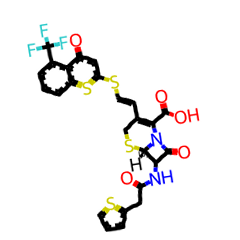 O=C(Cc1cccs1)NC1C(=O)N2C(C(=O)O)=C(C=CSc3cc(=O)c4c(C(F)(F)F)cccc4s3)CS[C@@H]12